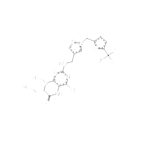 CC[C@H]1C(=O)Nc2c(C)nc(NCc3cnn(Cc4ccc(C(F)(F)F)o4)c3)nc2N1C